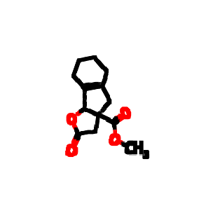 COC(=O)C12CC(=O)OC1C1=C(CCCC1)C2